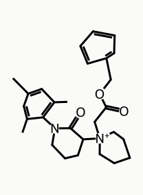 Cc1cc(C)c(N2CCCC([N+]3(CC(=O)OCc4ccccc4)CCCCC3)C2=O)c(C)c1